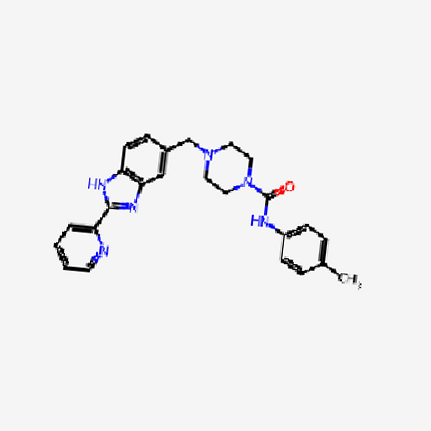 Cc1ccc(NC(=O)N2CCN(Cc3ccc4[nH]c(-c5ccccn5)nc4c3)CC2)cc1